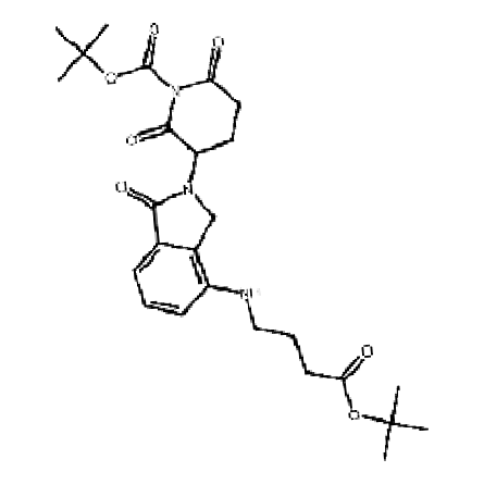 CC(C)(C)OC(=O)CCCNc1cccc2c1CN(C1CCC(=O)N(C(=O)OC(C)(C)C)C1=O)C2=O